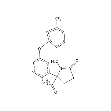 CN1C(=O)CCC1(C(N)=O)c1cc(Oc2cccc(C(F)(F)F)c2)ccc1Br